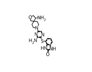 Nc1nc(N2CCC3(CC2)COC[C@H]3N)cnc1Sc1cccc2[nH]c(=O)[nH]c12